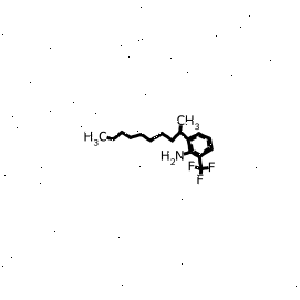 CCCCCCCCC(C)c1cccc(C(F)(F)F)c1N